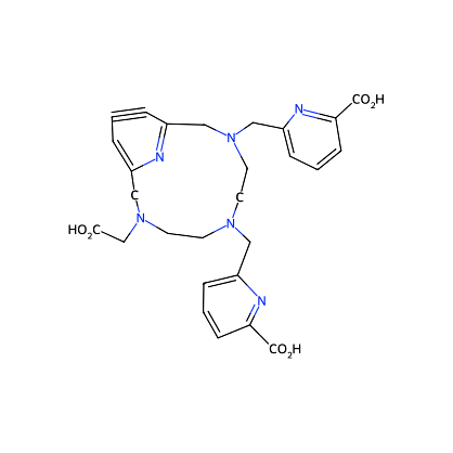 O=C(O)CN1CCN(Cc2cccc(C(=O)O)n2)CCN(Cc2cccc(C(=O)O)n2)Cc2c#ccc(n2)C1